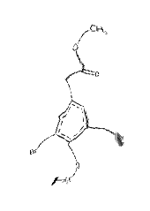 COC(=O)Cc1cc(F)c(OC)c(Br)c1